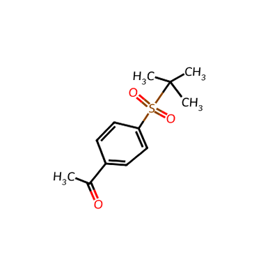 CC(=O)c1ccc(S(=O)(=O)C(C)(C)C)cc1